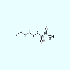 CCCCCC[C@H](O)C(=O)O